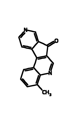 Cc1cccc2c3c(cnc12)C(=O)c1cnccc1-3